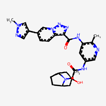 Cc1ncc(NC(=O)CN2C3CCC2CC(C)(O)C3)cc1NC(=O)c1nnn2cc(-c3cnn(C)c3)ccc12